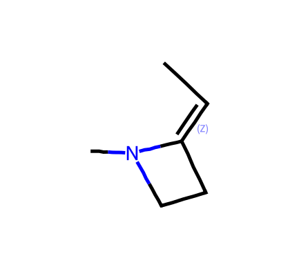 C/C=C1/CCN1C